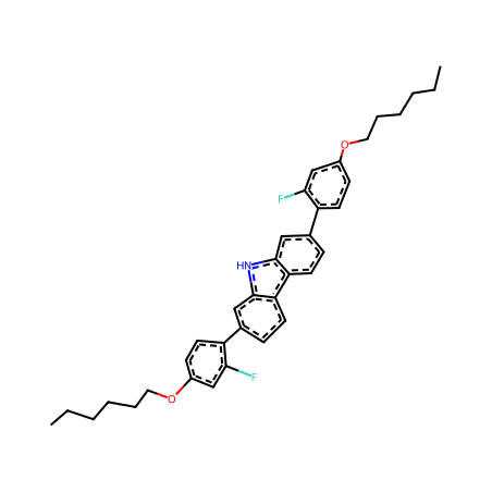 CCCCCCOc1ccc(-c2ccc3c(c2)[nH]c2cc(-c4ccc(OCCCCCC)cc4F)ccc23)c(F)c1